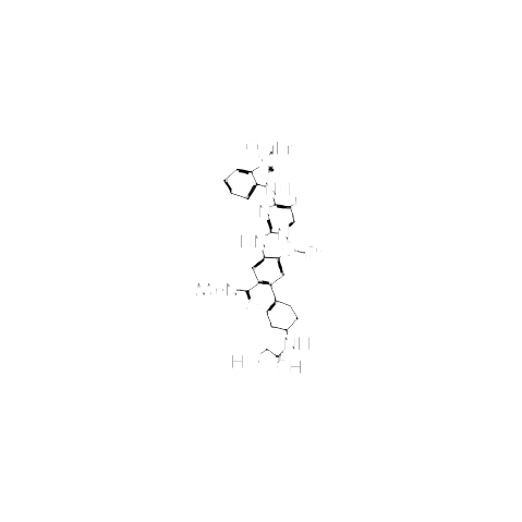 CNC(=O)c1cc(Nc2ncc(Cl)c(Nc3ccccc3S(=O)(=O)C(C)C)n2)c(OC(C)C)cc1C1=CCC(N[C@H](C)CO)CC1